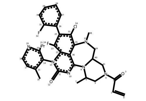 C=CC(=O)N1CC(C)N2c3nc(=O)n(-c4c(C)ccnc4C(C)C)c4c(F)c(-c5ccccc5F)c(Cl)c(c34)N(C)CC2C1